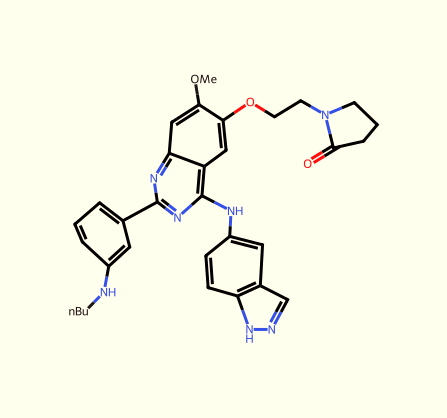 CCCCNc1cccc(-c2nc(Nc3ccc4[nH]ncc4c3)c3cc(OCCN4CCCC4=O)c(OC)cc3n2)c1